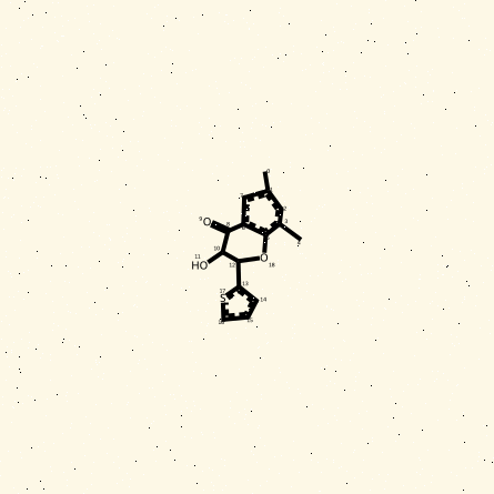 Cc1cc(C)c2c(c1)C(=O)C(O)C(c1cccs1)O2